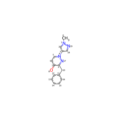 Cn1cc(-n2ccc(=O)c(Cc3[c]cccc3)n2)cn1